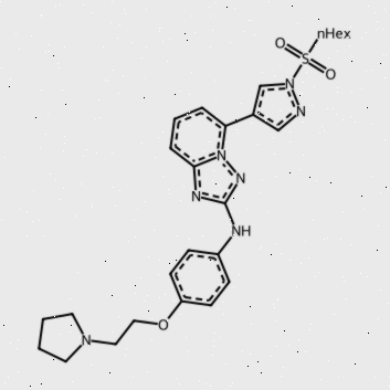 CCCCCCS(=O)(=O)n1cc(-c2cccc3nc(Nc4ccc(OCCN5CCCC5)cc4)nn23)cn1